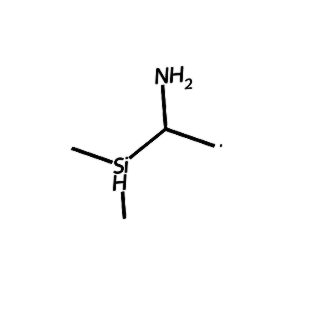 [CH2]C(N)[SiH](C)C